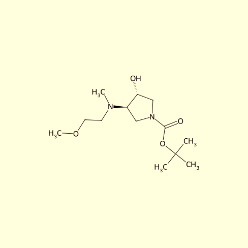 COCCN(C)[C@@H]1CN(C(=O)OC(C)(C)C)C[C@H]1O